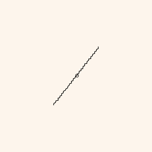 CCCCCCCCCCCCCCCCCCCCCCCCOCCCCCCCCCCCCCCCCCCCCCCC